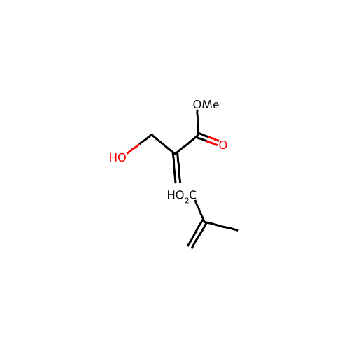 C=C(C)C(=O)O.C=C(CO)C(=O)OC